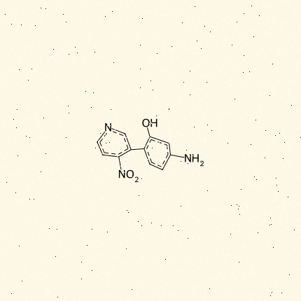 Nc1ccc(-c2cnccc2[N+](=O)[O-])c(O)c1